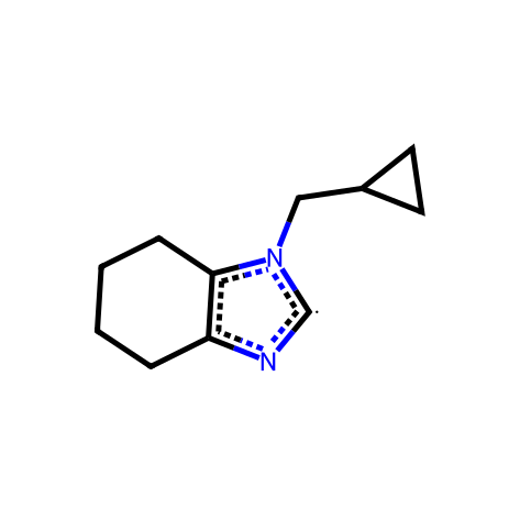 [c]1nc2c(n1CC1CC1)CCCC2